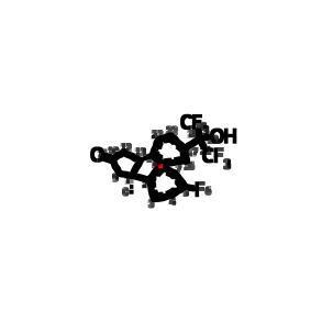 C[C@]1(c2ccc(F)cc2)CC(=O)C[C@H]1c1ccc(C(O)(C(F)(F)F)C(F)(F)F)cc1